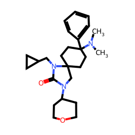 CN(C)C1(c2ccccc2)CCC2(CC1)CN(C1CCOCC1)C(=O)N2CC1CC1